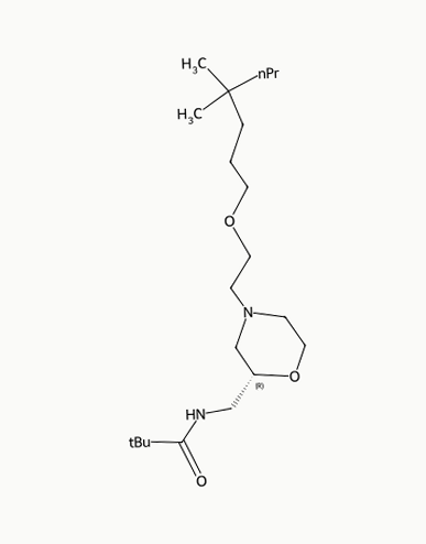 CCCC(C)(C)CCCOCCN1CCO[C@H](CNC(=O)C(C)(C)C)C1